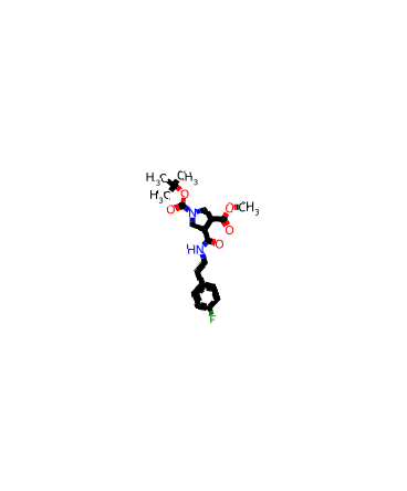 COC(=O)C1CN(C(=O)OC(C)(C)C)CC1C(=O)NCCc1ccc(F)cc1